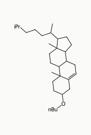 CCCCOC1CCC2(C)C(=CCC3C2CCC2(C)C(C(C)CCCC(C)C)CCC32)C1